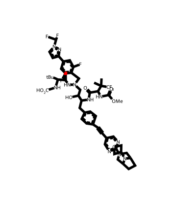 COC(=O)NC(C(=O)NC(Cc1ccc(C#Cc2cnc(N3CC4CCC(C3)N4C3COC3)nc2)cc1)C(O)CN(Cc1c(F)cc(-c2ccn(C(F)F)n2)cc1F)NC(=O)C(NC(=O)O)C(C)(C)C)C(C)(C)C(F)(F)F